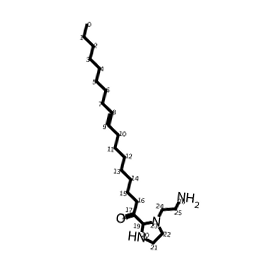 CCCCCCCCC=CCCCCCCCC(=O)C1NCCN1CCN